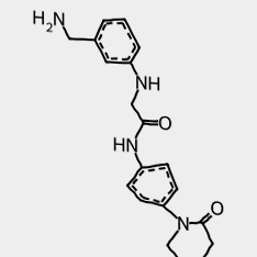 NCc1cccc(NCC(=O)Nc2ccc(N3CCCCC3=O)cc2)c1